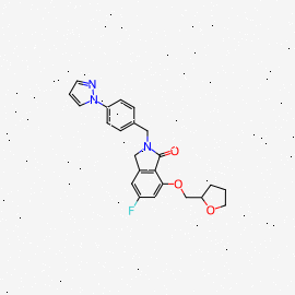 O=C1c2c(cc(F)cc2OCC2CCCO2)CN1Cc1ccc(-n2cccn2)cc1